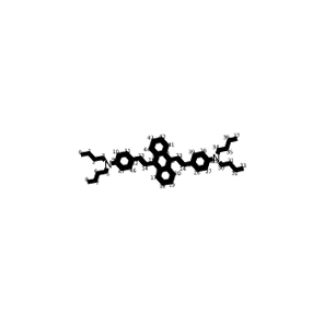 CCCCN(CCCC)c1ccc(C=Cc2c3ccccc3c(C=Cc3ccc(N(CCCC)CCCC)cc3)c3ccccc23)cc1